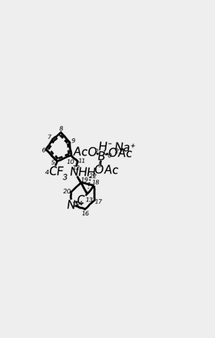 CC(=O)O[BH-](OC(C)=O)OC(C)=O.FC(F)(F)c1ccccc1CN[C@@H]1CN2CCC1CC2.[Na+]